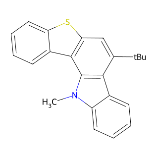 Cn1c2ccccc2c2c(C(C)(C)C)cc3sc4ccccc4c3c21